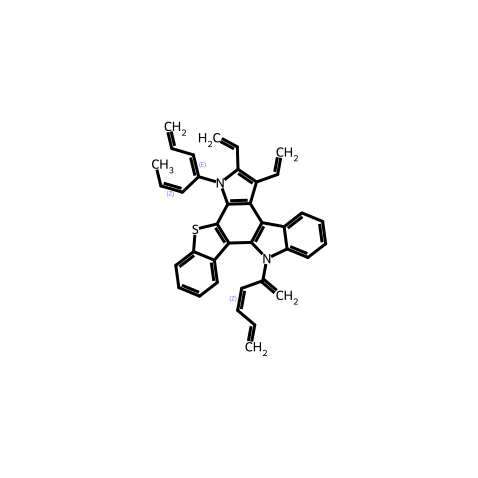 C=C/C=C\C(=C)n1c2ccccc2c2c3c(C=C)c(C=C)n(C(/C=C\C)=C/C=C)c3c3sc4ccccc4c3c21